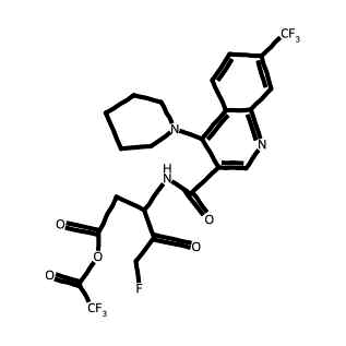 O=C(CC(NC(=O)c1cnc2cc(C(F)(F)F)ccc2c1N1CCCCC1)C(=O)CF)OC(=O)C(F)(F)F